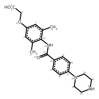 Cc1cc(OCC(=O)O)cc(C)c1NC(=O)c1ccc(N2CCNCC2)cc1